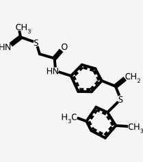 C=C(Sc1cc(C)ccc1C)c1ccc(NC(=O)CSC(C)=N)cc1